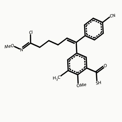 CO/N=C(\Cl)CCC/C=C(/c1ccc(C#N)cc1)c1cc(C)c(OC)c(C(=O)S)c1